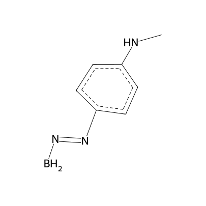 BN=Nc1ccc(NC)cc1